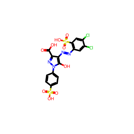 O=C(O)c1nn(-c2ccc(S(=O)(=O)O)cc2)c(O)c1N=Nc1cc(Cl)c(Cl)cc1S(=O)(=O)O